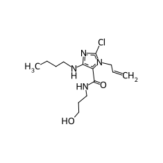 C=CCn1c(Cl)nc(NCCCC)c1C(=O)NCCCO